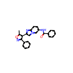 Cc1onc(-c2ccccc2)c1-c1cn2cc(NC(=O)c3ccccc3)ccc2n1